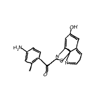 Cc1cc(N)ccc1C(=O)C1=NC2=CC(O)=CC3=CC=NC32CC1